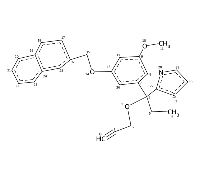 C#CCOC(CC)(c1cc(OC)cc(OCc2ccc3ccccc3c2)c1)c1nccs1